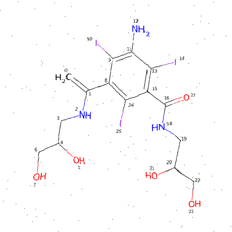 C=C(NCC(O)CO)c1c(I)c(N)c(I)c(C(=O)NCC(O)CO)c1I